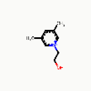 Cc1cc(C)c[n+](CCO)c1